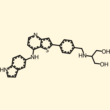 OCC(CO)NCc1ccc(-c2cc3nccc(Nc4ccc5[nH]ccc5c4)c3s2)cc1